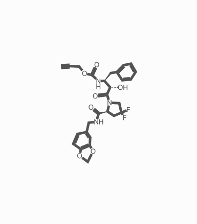 C#CCOC(=O)N[C@@H](Cc1ccccc1)[C@H](O)C(=O)N1CC(F)(F)C[C@H]1C(=O)NCc1ccc2c(c1)OCO2